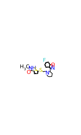 CNC(=O)c1ccc(SCCN2CCCCC2c2noc3cc(F)ccc23)s1